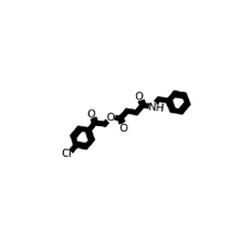 O=C(CCC(=O)OCC(=O)c1ccc(Cl)cc1)NCc1ccccc1